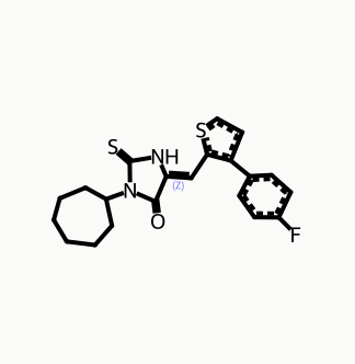 O=C1/C(=C/c2sccc2-c2ccc(F)cc2)NC(=S)N1C1CCCCCC1